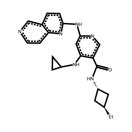 CC[C@H]1C[C@H](NC(=O)c2cnc(Nc3ccc4cnccc4n3)cc2NC2CC2)C1